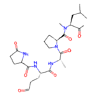 CC(=O)[C@H](CC(C)C)N(C)C(=O)[C@@H]1CCCN1C(=O)[C@H](C)NC(=O)[C@H](CCC=O)NC(=O)C1CCC(=O)N1